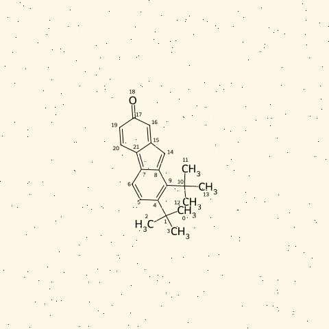 CC(C)(C)c1ccc2c(c1C(C)(C)C)=CC1=CC(=O)C=CC=21